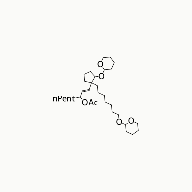 CCCCCC(C=CC1(CCCCCCCOC2CCCCO2)CCCC1OC1CCCCO1)OC(C)=O